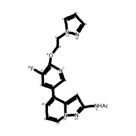 CC(=O)Nc1cc2c(-c3cnc(OCCn4cccn4)c(F)c3)cccn2n1